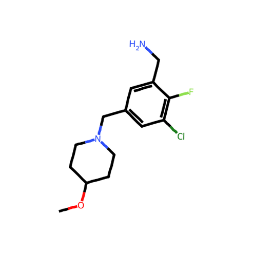 COC1CCN(Cc2cc(Cl)c(F)c(CN)c2)CC1